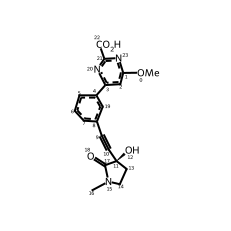 COc1cc(-c2cccc(C#C[C@]3(O)CCN(C)C3=O)c2)nc(C(=O)O)n1